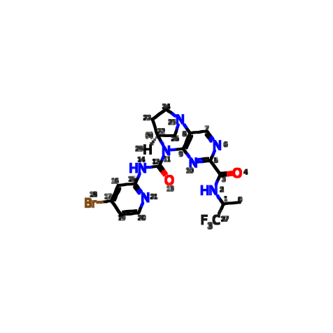 CC(NC(=O)c1ncc2c(n1)N(C(=O)Nc1cc(Br)ccn1)[C@H]1CCN2C1)C(F)(F)F